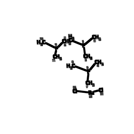 CP(C)C.CP(C)C.CP(C)C.[Cl][Ru][Cl]